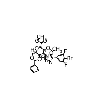 COC(=O)[C@@H]1O[C@@H]2COC(c3ccccc3)O[C@@H]2[C@H](n2cc(-c3cc(F)c(Br)c(F)c3)nn2)[C@H]1OC(C)=O